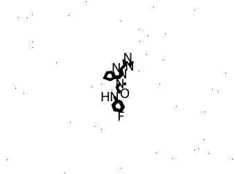 CN(CC(=O)Nc1ccc(F)cc1)c1nc(-c2cn(C)cn2)nc2c1CCC2